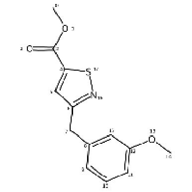 COC(=O)c1cc(Cc2cccc(OC)c2)ns1